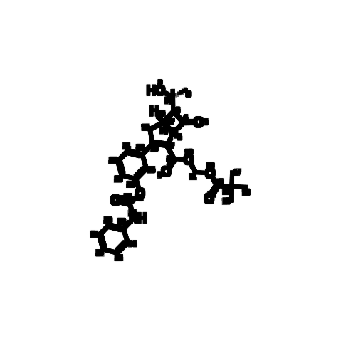 C[C@@H](O)[C@H]1C(=O)N2C(C(=O)OCOC(=O)C(C)(C)C)=C(c3cccc(OC(=O)Nc4ccccc4)c3)C[C@H]12